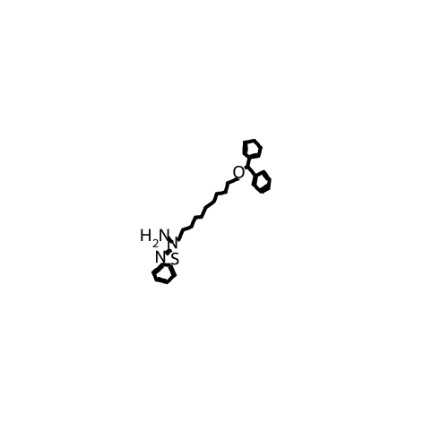 NN(CCCCCCCCCCCOC(C1=CCCC=C1)c1cc#ccc1)c1nc2ccccc2s1